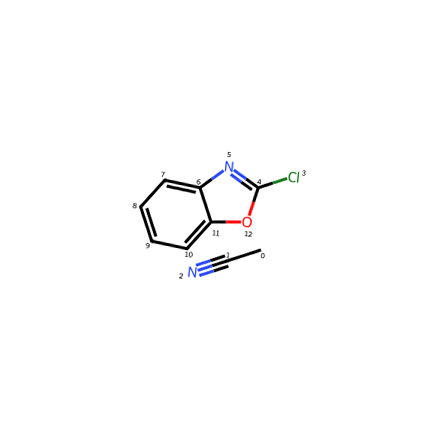 CC#N.Clc1nc2ccccc2o1